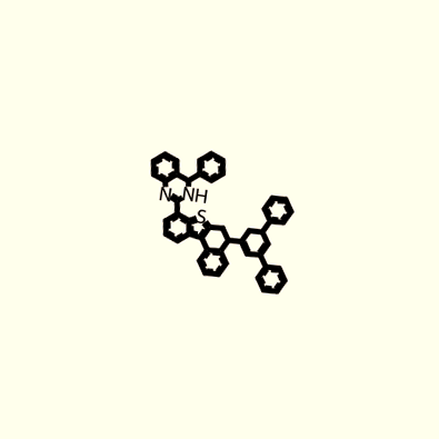 C1=C(c2ccccc2)C=C(C2Cc3sc4c(C5=Nc6ccccc6C(c6ccccc6)N5)cccc4c3-c3ccccc32)CC1c1ccccc1